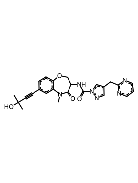 CN1C(=O)C(NC(=O)n2cc(Cc3ncccn3)cn2)COc2ccc(C#CC(C)(C)O)cc21